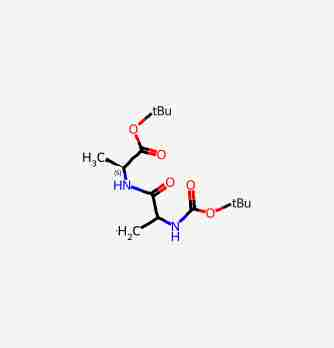 [CH2]C(NC(=O)OC(C)(C)C)C(=O)N[C@@H](C)C(=O)OC(C)(C)C